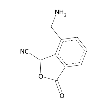 N#CC1OC(=O)c2cccc(CN)c21